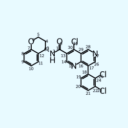 O=C(N[C@H]1CCOc2ccccc21)c1cnc2c(-c3cccc(Cl)c3Cl)cncc2c1Cl